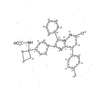 O=C(O)NC1(c2ccc(-c3nc4c(-c5ccc(F)cc5)cc(Cl)nn4c3-c3ccccc3)cc2)CCC1